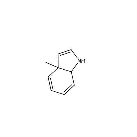 CC12C=CC=CC1NC=C2